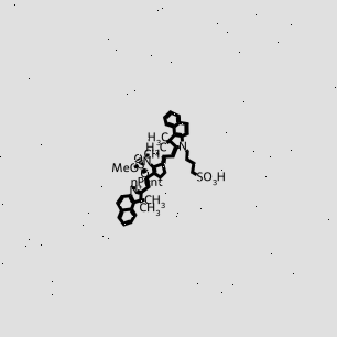 CCCCC[N+]1=C(/C=C/C2=C(N(C)S(=O)(=O)OC)C(=C/C=C3/N(CCCCS(=O)(=O)O)c4ccc5ccccc5c4C3(C)C)/CC2)C(C)(C)c2c1ccc1ccccc21